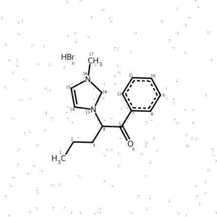 Br.CCCC(C(=O)c1ccccc1)N1C=CN(C)C1